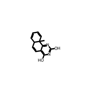 CC12C=CC=CC1C=Cc1c(O)nc(O)nc12